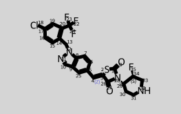 O=C1S/C(=C\c2ccc3c(cnn3Cc3ccc(Cl)cc3C(F)(F)F)c2)C(=O)N1[C@H]1CCNC[C@@H]1F